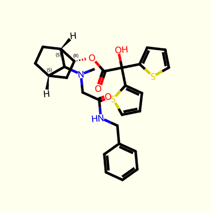 CN(CC(=O)NCc1ccccc1)C1[C@H]2CC[C@@H]1[C@H](OC(=O)C(O)(c1cccs1)c1cccs1)C2